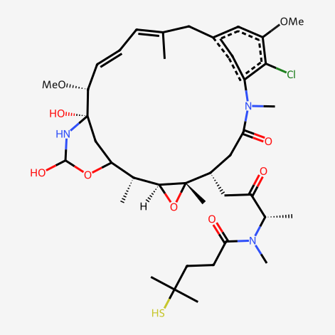 COc1cc2cc(c1Cl)N(C)C(=O)C[C@H](CC(=O)[C@H](C)N(C)C(=O)CCC(C)(C)S)[C@]1(C)O[C@H]1[C@H](C)C1C[C@@](O)(NC(O)O1)[C@H](OC)/C=C/C=C(\C)C2